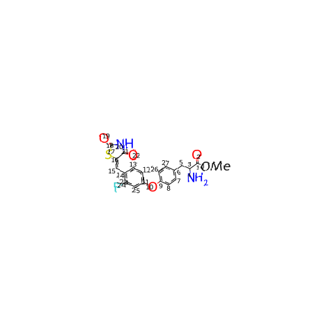 COC(=O)C(N)Cc1ccc(Oc2ccc(/C=C3/SC(=O)NC3=O)c(F)c2)cc1